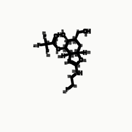 O=C(O[C@H]1[C@H](O)[C@@H](CO)C[C@@H]2OC(NCCF)=N[C@H]12)C(F)(F)F